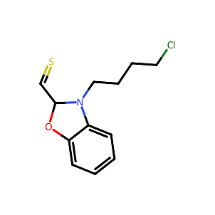 S=CC1Oc2ccccc2N1CCCCCl